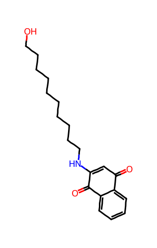 O=C1C=C(NCCCCCCCCCCO)C(=O)c2ccccc21